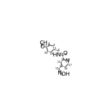 COc1ccc(CNC(=O)c2cc(/C=N\O)ccn2)cc1